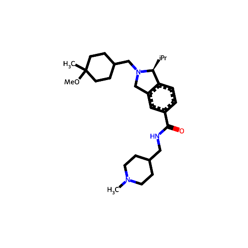 COC1(C)CCC(CN2Cc3cc(C(=O)NCC4CCN(C)CC4)ccc3[C@@H]2C(C)C)CC1